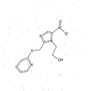 O=[N+]([O-])c1cnc(CSc2ccccn2)n1CCO